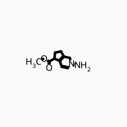 COC(=O)C1CCC2=C1C=CN(N)C2